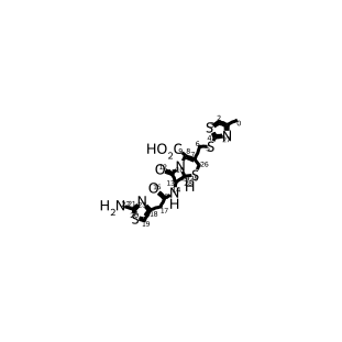 Cc1csc(SCC2=C(C(=O)O)N3C(=O)C(NC(=O)Cc4csc(N)n4)[C@@H]3SC2)n1